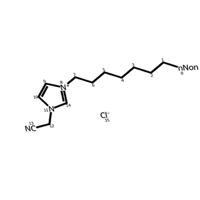 CCCCCCCCCCCCCCCC[n+]1ccn(CC#N)c1.[Cl-]